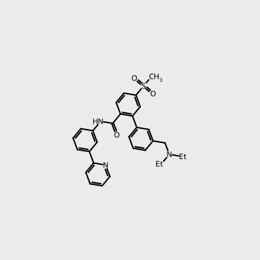 CCN(CC)Cc1cccc(-c2cc(S(C)(=O)=O)ccc2C(=O)Nc2cccc(-c3ccccn3)c2)c1